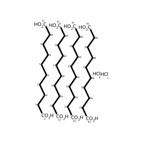 Cl.Cl.O=C(O)CCCCCCCCC(=O)O.O=C(O)CCCCCCCCC(=O)O.O=C(O)CCCCCCCCC(=O)O.O=C(O)CCCCCCCCC(=O)O